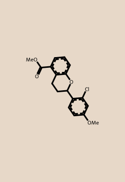 COC(=O)c1cccc2c1CCC(c1ccc(OC)cc1Cl)O2